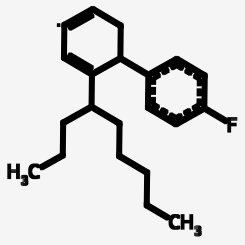 CCCCCC(CCC)C1=C[C]=CCC1c1ccc(F)cc1